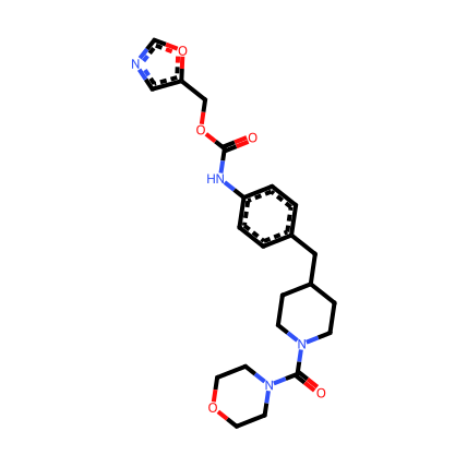 O=C(Nc1ccc(CC2CCN(C(=O)N3CCOCC3)CC2)cc1)OCc1cnco1